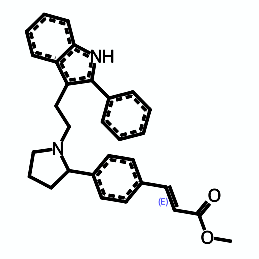 COC(=O)/C=C/c1ccc(C2CCCN2CCc2c(-c3ccccc3)[nH]c3ccccc23)cc1